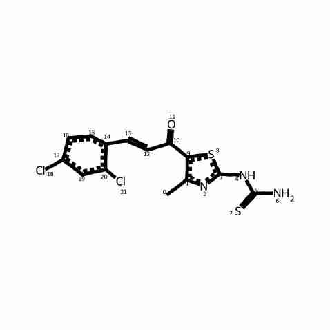 Cc1nc(NC(N)=S)sc1C(=O)C=Cc1ccc(Cl)cc1Cl